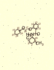 Cc1ccc(C)c(NC(=O)c2ccccc2OCCOc2ccccc2)c1